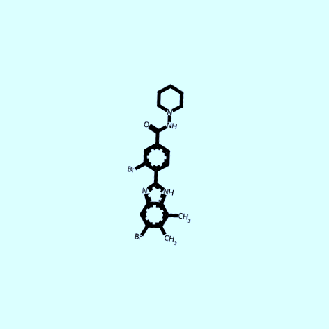 Cc1c(Br)cc2nc(-c3ccc(C(=O)NN4CCCCC4)cc3Br)[nH]c2c1C